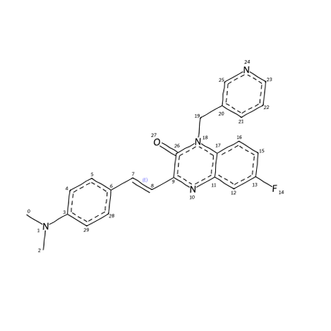 CN(C)c1ccc(/C=C/c2nc3cc(F)ccc3n(Cc3cccnc3)c2=O)cc1